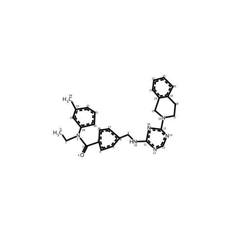 CCN(C(=O)c1ccc(CNc2ncnc(N3CCc4ccccc4C3)n2)cc1)c1cccc(C)c1